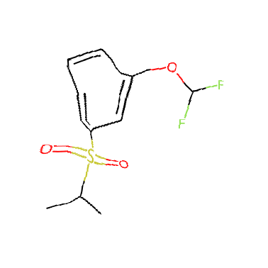 CC(C)S(=O)(=O)c1cccc(OC(F)F)c1